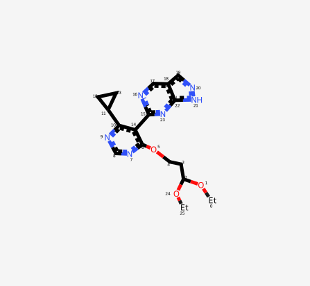 CCOC(CCOc1ncnc(C2CC2)c1-c1ncc2cn[nH]c2n1)OCC